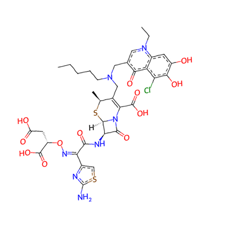 CCCCCN(CC1=C(C(=O)O)N2C(=O)[C@@H](NC(=O)/C(=N\O[C@@H](CC(=O)O)C(=O)O)c3csc(N)n3)[C@H]2S[C@H]1C)Cc1cn(CC)c2cc(O)c(O)c(Cl)c2c1=O